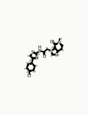 Cn1ccc2ncn(CC(=O)Nc3nc(-c4ccc(Cl)cc4)cs3)c2c1=O